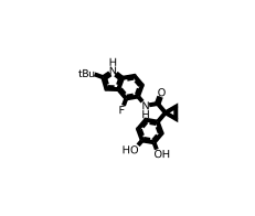 CC(C)(C)c1cc2c(F)c(NC(=O)C3(c4ccc(O)c(O)c4)CC3)ccc2[nH]1